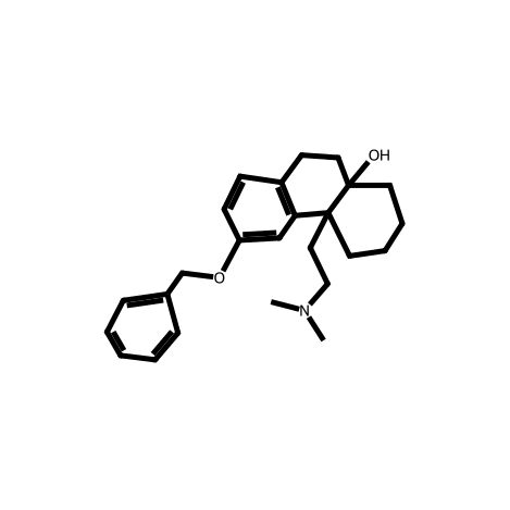 CN(C)CCC12CCCCC1(O)CCc1ccc(OCc3ccccc3)cc12